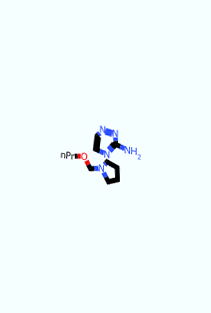 CCCOCN1CCCC1.Nc1nccnn1